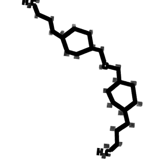 CCCCC1CCC(COCC2CCC(CCCC)CC2)CC1